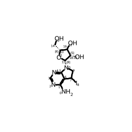 Nc1ncnc2c1C(I)CN2[C@@H]1O[C@H](CO)C(O)[C@@H]1O